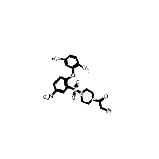 Cc1ccc(C)c(Oc2ccc([N+](=O)[O-])cc2S(=O)(=O)N2CCN(C(=O)CC(C)C)CC2)c1